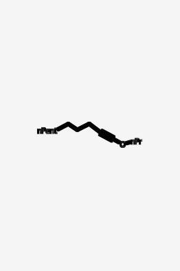 [CH2]CCOC#CCCCCCCCC